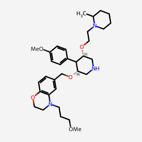 COCCCN1CCOc2ccc(CO[C@H]3CNC[C@@H](OCCN4CCCCC4C)C3c3ccc(OC)cc3)cc21